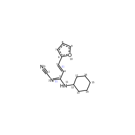 N#C/N=C(\C=C\c1ccco1)NC1CCCCC1